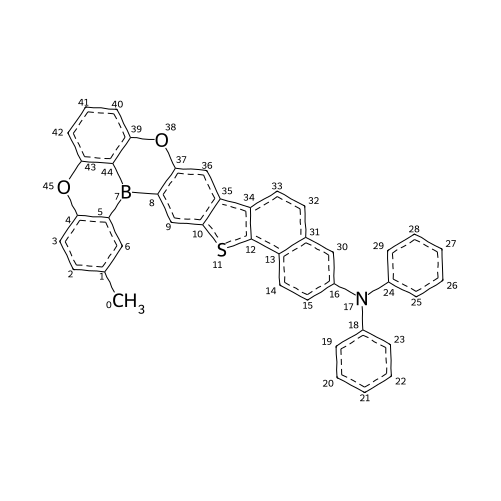 Cc1ccc2c(c1)B1c3cc4sc5c6ccc(N(c7ccccc7)c7ccccc7)cc6ccc5c4cc3Oc3cccc(c31)O2